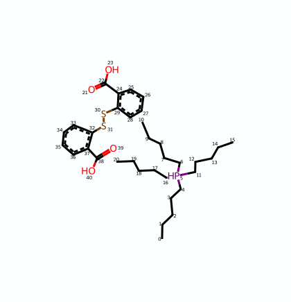 CCCCC[PH](CCCCC)(CCCCC)CCCCC.O=C(O)c1ccccc1SSc1ccccc1C(=O)O